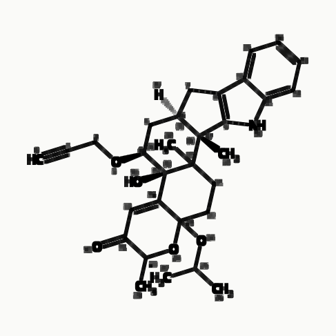 C#CCO[C@H]1C[C@H]2Cc3c([nH]c4ccccc34)[C@]2(C)C2(C)CCC3(OC(C)C)OC(C)C(=O)C=C3[C@]12O